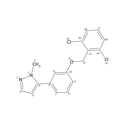 Cn1nccc1-c1cccc(OCc2c(Cl)cccc2Cl)c1